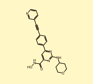 O=C(NO)c1cc(-c2ccc(C#Cc3cccnc3)cc2)nc(NC2CCOCC2)n1